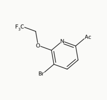 CC(=O)c1ccc(Br)c(OCC(F)(F)F)n1